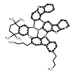 CCCCc1ccc2c(c1)c1cc(CCCC)cc3c1n2-c1c2c(cc4c1oc1ccccc14)-c1c(ccc4oc5ccccc5c14)N(c1cc4c(cc1C)C(C)(C)CCC4(C)C)B23